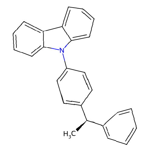 C[C@H](c1ccccc1)c1ccc(-n2c3ccccc3c3ccccc32)cc1